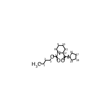 CCCCOC(=O)N1CCCCC1C(=O)N1CCCC1